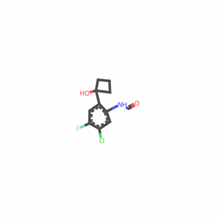 O=CNc1cc(Cl)c(F)cc1C1(O)CCC1